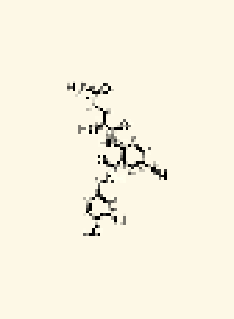 COc1ccc(CNC(=O)c2cc(C#N)ccc2NC(=O)C(O)CCC(N)=O)cc1Cl